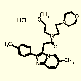 COCCN(CCN1CCOCC1)C(=O)Cc1c(-c2ccc(C)cc2)nc2ccc(C)cn12.Cl